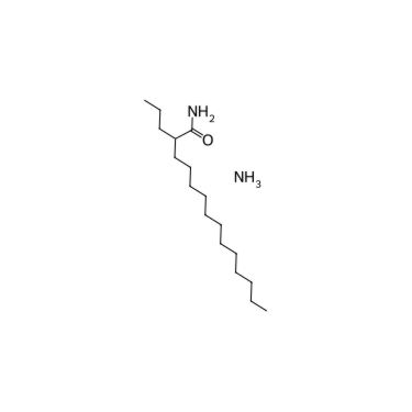 CCCCCCCCCCCCC(CCC)C(N)=O.N